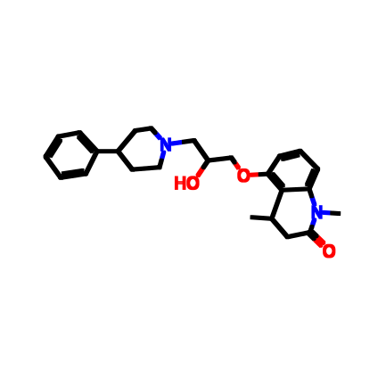 CC1CC(=O)N(C)c2cccc(OCC(O)CN3CCC(c4ccccc4)CC3)c21